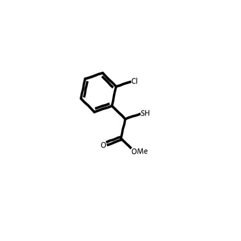 COC(=O)C(S)c1ccccc1Cl